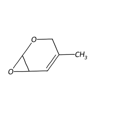 CC1=CC2OC2OC1